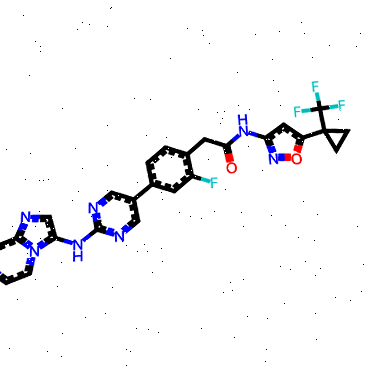 O=C(Cc1ccc(-c2cnc(Nc3cnc4cnccn34)nc2)cc1F)Nc1cc(C2(C(F)(F)F)CC2)on1